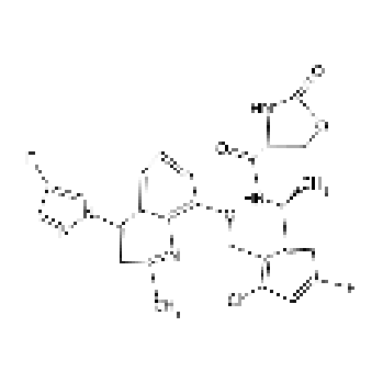 Cc1cc(-n2cc(F)cn2)c2cccc(OCc3c(Cl)cc(F)cc3[C@H](C)NC(=O)[C@H]3COC(=O)N3)c2n1